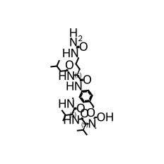 CNC(=O)[C@@H](NC(=O)[C@H](C(C)C)N(C)C(O)OCc1ccc(NC(=O)[C@H](CCCNC(N)=O)NC(=O)CC(C)C)cc1)C(C)C